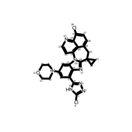 Clc1nnc(-c2cc(N3CCOCC3)cc3c2nc2n3-c3ccnc4c(Cl)ccc(c34)CC23CC3)[nH]1